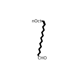 CCCCCCCC/C=C\CCCCCCCCCCCC=O